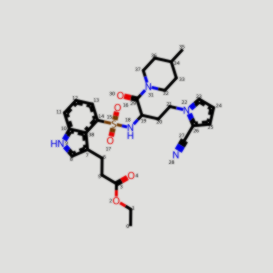 CCOC(=O)CCc1c[nH]c2cccc(S(=O)(=O)NC(CCn3cccc3C#N)C(=O)N3CCC(C)CC3)c12